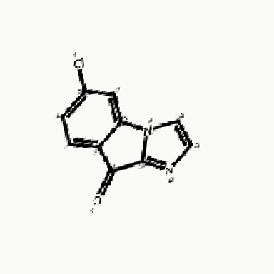 O=C1c2ccc(Cl)cc2-n2ccnc21